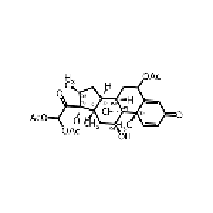 CC(=O)OC1C[C@H]2[C@@H]3C[C@H](C)[C@](O)(C(=O)C(OC(C)=O)OC(C)=O)[C@@]3(C)C[C@H](O)[C@]2(Cl)[C@@]2(C)C=CC(=O)C=C12